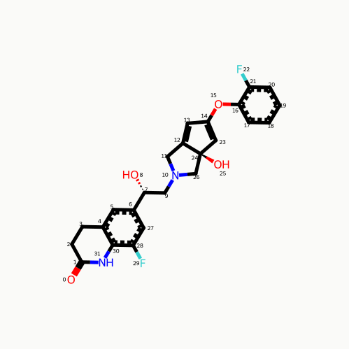 O=C1CCc2cc([C@H](O)CN3CC4=CC(Oc5ccccc5F)=C[C@]4(O)C3)cc(F)c2N1